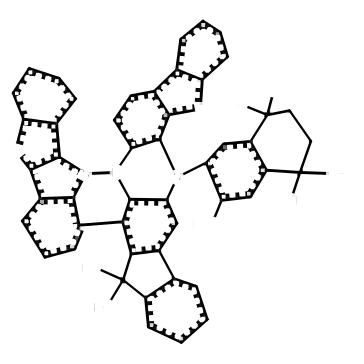 Cc1cc2c(cc1N1c3cc4c(c5c3B(c3ccc6c(sc7ccccc76)c31)n1c3c-5cccc3c3sc5ccccc5c31)C(C)(C)c1ccccc1-4)C(C)(C)CCC2(C)C